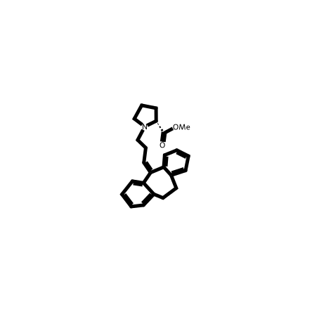 COC(=O)[C@H]1CCCN1CCC=C1c2ccccc2CCc2ccccc21